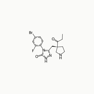 CCC(=O)[C@]1(Cc2n[nH]c(=O)n2-c2ccc(Br)cc2F)CCNC1